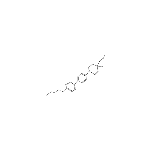 CCCCCc1ccc(-c2ccc(C3CCC(F)(CCC)CC3)cc2)cc1